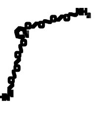 N=NCCOCCOCCOCCOc1cccc(OCCOCCOCCOCCN)n1